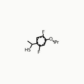 CC(C)Oc1cc(F)c(C(C)S)cc1F